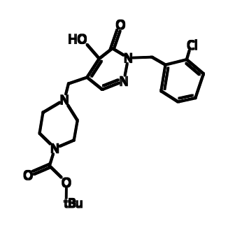 CC(C)(C)OC(=O)N1CCN(Cc2cnn(Cc3ccccc3Cl)c(=O)c2O)CC1